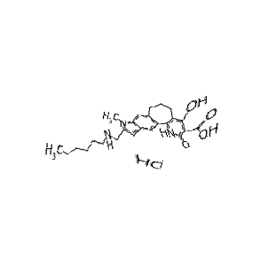 CCCCCCNCc1cc2cc3c(cc2n1C)CCCc1c-3[nH]c(=O)c(C(=O)O)c1O.Cl